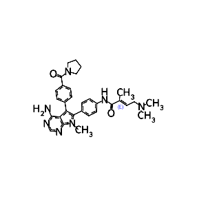 C/C(=C\CN(C)C)C(=O)Nc1ccc(-c2c(-c3ccc(C(=O)N4CCCC4)cc3)c3c(N)ncnc3n2C)cc1